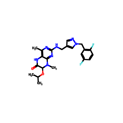 Cc1nc(NCc2cnn(Cc3cc(F)ccc3F)c2)nc2c1NC(=O)C(OC(C)C)N2C